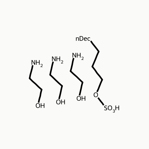 CCCCCCCCCCCCCOS(=O)(=O)O.NCCO.NCCO.NCCO